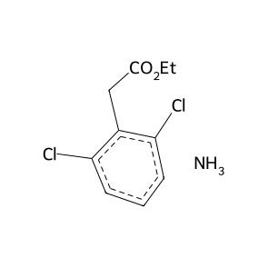 CCOC(=O)Cc1c(Cl)cccc1Cl.N